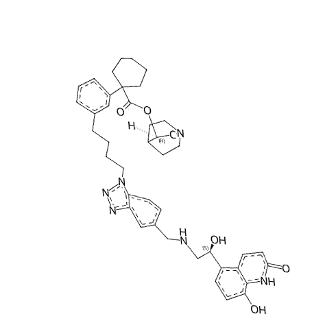 O=C(O[C@H]1CN2CCC1CC2)C1(c2cccc(CCCCn3nnc4cc(CNC[C@@H](O)c5ccc(O)c6[nH]c(=O)ccc56)ccc43)c2)CCCCC1